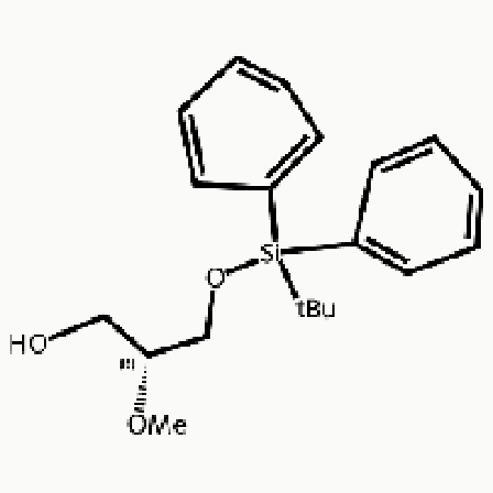 CO[C@H](CO)CO[Si](c1ccccc1)(c1ccccc1)C(C)(C)C